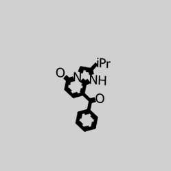 CC(C)c1cn2c(=O)ccc(C(=O)c3ccccc3)c2[nH]1